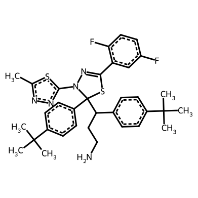 Cc1nnc(N2N=C(c3cc(F)ccc3F)SC2(c2ccc(C(C)(C)C)cc2)C(CCN)c2ccc(C(C)(C)C)cc2)s1